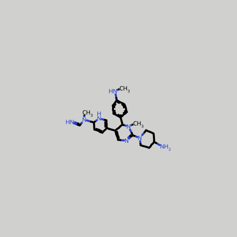 CNc1ccc(C2C(C3=CNC(N(C)C=N)C=C3)=CN=C(N3CCC(N)CC3)N2C)cc1